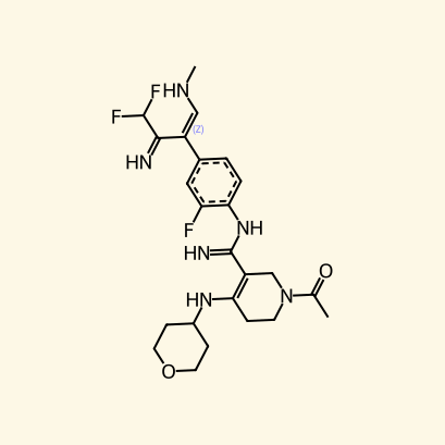 CN/C=C(\C(=N)C(F)F)c1ccc(NC(=N)C2=C(NC3CCOCC3)CCN(C(C)=O)C2)c(F)c1